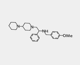 COc1ccc(CNC(CN2CCC(N3CCCCC3)CC2)c2ccccc2)cc1